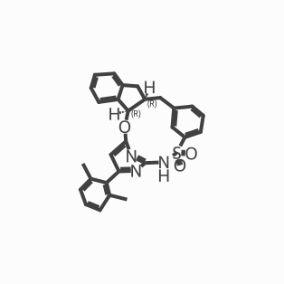 Cc1cccc(C)c1-c1cc2nc(n1)NS(=O)(=O)c1cccc(c1)C[C@@H]1Cc3ccccc3[C@@H]1O2